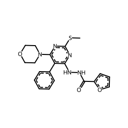 CSc1nc(NNC(=O)c2ccco2)c(-c2ccccc2)c(N2CCOCC2)n1